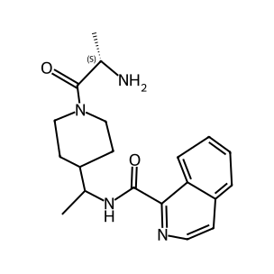 CC(NC(=O)c1nccc2ccccc12)C1CCN(C(=O)[C@H](C)N)CC1